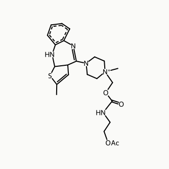 CC(=O)OCCNC(=O)OC[N+]1(C)CCN(C2=Nc3ccccc3NC3SC(C)=CC23)CC1